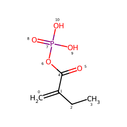 C=C(CC)C(=O)OP(=O)(O)O